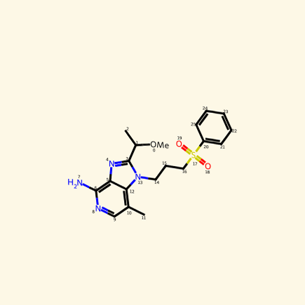 COC(C)c1nc2c(N)ncc(C)c2n1CCCS(=O)(=O)c1ccccc1